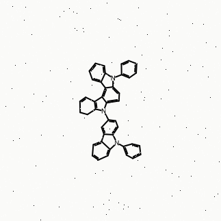 C1=Cc2c(n(-c3ccc4c(c3)c3ccccc3n4-c3ccccc3)c3ccc4c(c5ccccc5n4-c4ccccc4)c23)CC1